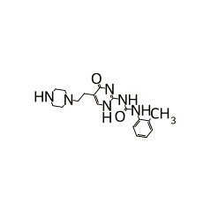 Cc1ccccc1NC(=O)Nc1nc(=O)c(CCN2CCNCC2)c[nH]1